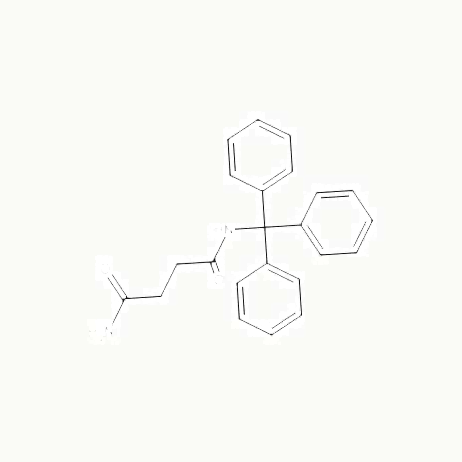 NC(=O)CCC(=O)NC(c1ccccc1)(c1ccccc1)c1ccccc1